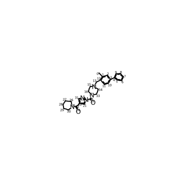 Cc1cc(-c2ccccc2)ccc1CN1CCN(C(=O)n2cc(C(=O)N3CCCCC3)cn2)CC1